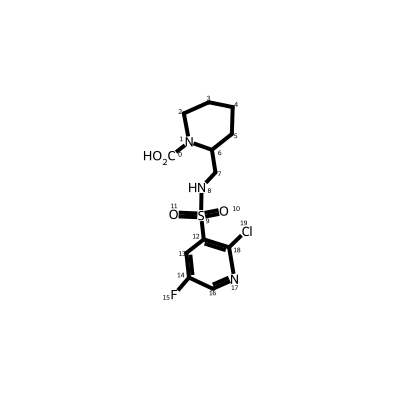 O=C(O)N1CCCCC1CNS(=O)(=O)c1cc(F)cnc1Cl